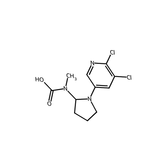 CN(C(=O)O)C1CCCN1c1cnc(Cl)c(Cl)c1